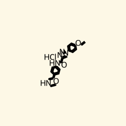 CCOc1ccc(-n2cc(C(=O)Nc3ccc(C4CNCCO4)cc3)nn2)cc1.Cl